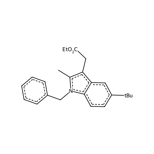 CCOC(=O)Cc1c(C)n(Cc2ccccc2)c2ccc(C(C)(C)C)cc12